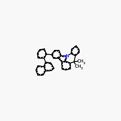 CC1(C)c2ccccc2-n2c3ccc(-c4ccccc4-c4cccc5ccccc45)cc3c3cccc1c32